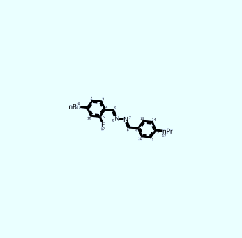 CCCCc1ccc(/C=N/N=C/c2ccc(CCC)cc2)c(F)c1